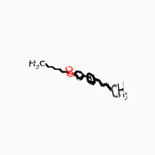 CCCCCCCC(=O)Oc1ccc(C23CCC(CCCCC)(CC2)CC3)cc1